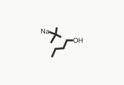 CCCCO.C[C](C)(C)[Na]